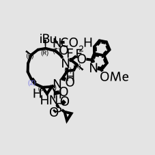 CCC(C)N(C(=O)O)[C@@H]1C(=O)N2[C@@H](C[C@@](C)(Oc3nc(OC)cc4ccccc34)C2(F)F)C(=O)N[C@]2(C(=O)NS(=O)(=O)C3CC3)C[C@H]2/C=C\CC[C@@H](C)C[C@H]1C